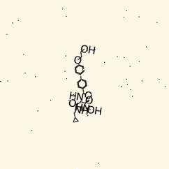 O=C(NC(C(=O)NO)C(=O)NCC1CC1)c1ccc(-c2ccc(OCCO)cc2)cc1